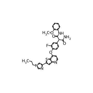 CCCn1cnc(-c2cc3nccc(Oc4ccc(C(C(N)=O)C(=O)Nc5ccccc5OC)cc4F)c3s2)c1